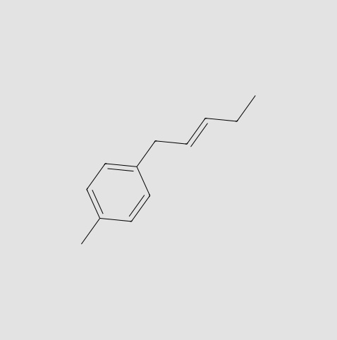 CC/C=C/Cc1ccc(C)cc1